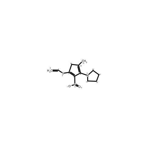 C=CSC1=C([N+](=O)[O-])C(N2CCCC2)=C(C)C1